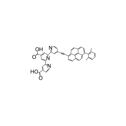 Cc1cccc(C)c1-c1ccc2ccc3c(C#Cc4ccnc(-c5cc(C(=O)O)cc(-c6cc(C(=O)O)ccn6)n5)c4)ccc4ccc1c2c43